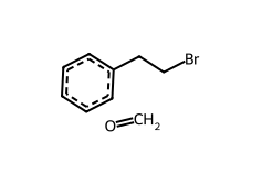 BrCCc1ccccc1.C=O